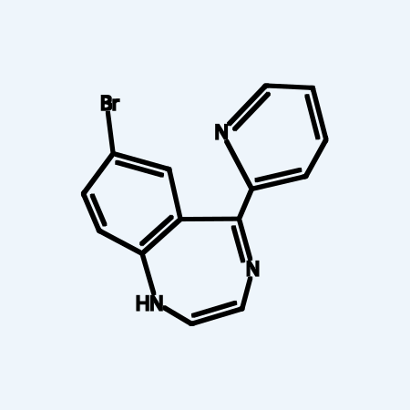 Brc1ccc2c(c1)C(c1ccccn1)=NC=CN2